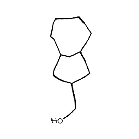 OCC1CC2CCCCC2C1